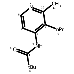 CCCc1c(NC(=O)C(C)(C)C)ccnc1C